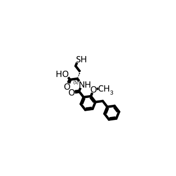 COc1c(Cc2ccccc2)cccc1C(=O)N[C@@H](CCS)C(=O)O